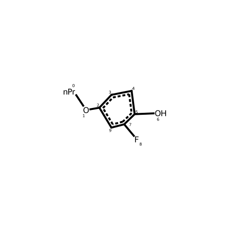 CCCOc1ccc(O)c(F)c1